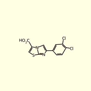 O=C(O)c1csc2nc(-c3ccc(Cl)c(Cl)c3)cn12